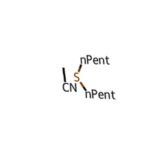 CC#N.CCCCCSCCCCC